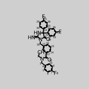 CCN(Cc1ccc(F)cc1)C(=O)c1cccc(CN2C(=N)NC(c3ccc(F)cc3)(c3ccc(F)cc3)C2=O)c1